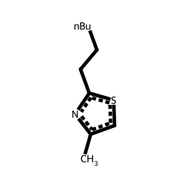 CCCCCCc1nc(C)cs1